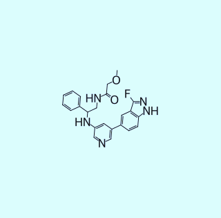 COCC(=O)NCC(Nc1cncc(-c2ccc3[nH]nc(F)c3c2)c1)c1ccccc1